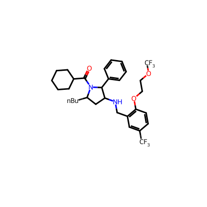 CCCCC1CC(NCc2cc(C(F)(F)F)ccc2OCCOC(F)(F)F)C(c2ccccc2)N1C(=O)C1CCCCC1